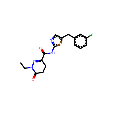 CCN1N=C(C(=O)Nc2ncc(Cc3cccc(F)c3)s2)CCC1=O